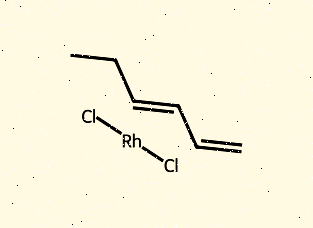 C=CC=CCC.[Cl][Rh][Cl]